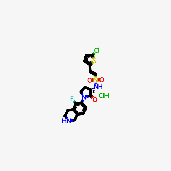 Cl.O=C1[C@@H](NS(=O)(=O)C=Cc2ccc(Cl)s2)CCN1c1ccc2c(c1F)CCNC2